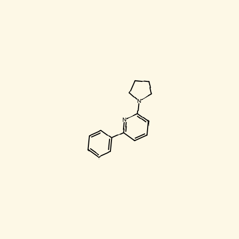 [c]1cccc(-c2cccc(N3CCCC3)n2)c1